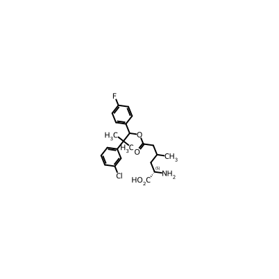 CC(CC(=O)OC(c1ccc(F)cc1)C(C)(C)c1cccc(Cl)c1)C[C@H](N)C(=O)O